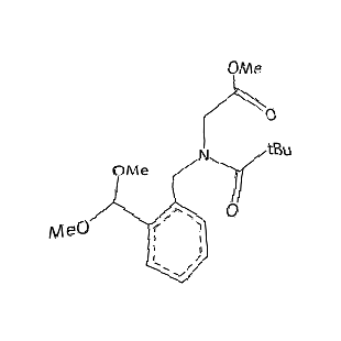 COC(=O)CN(Cc1ccccc1C(OC)OC)C(=O)C(C)(C)C